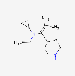 C=CN(C(=C(C)C)C1CCNCC1)C1CC1